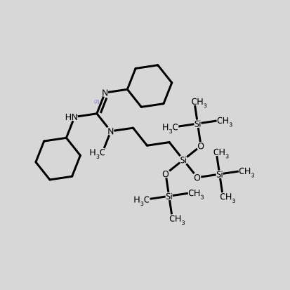 CN(CCC[Si](O[Si](C)(C)C)(O[Si](C)(C)C)O[Si](C)(C)C)/C(=N\C1CCCCC1)NC1CCCCC1